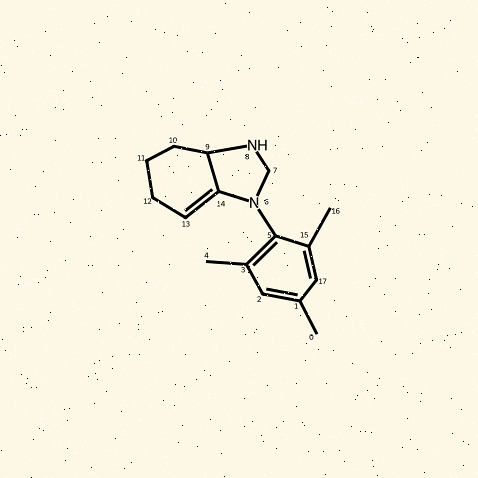 Cc1cc(C)c(N2CNC3CCCC=C32)c(C)c1